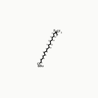 CCCCOCCCCCCCCCCCCCCCCC(F)(F)C(F)(F)F